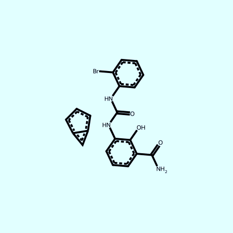 NC(=O)c1cccc(NC(=O)Nc2ccccc2Br)c1O.c1cc2cc-2c1